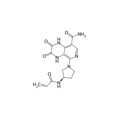 C=CC(=O)N[C@@H]1CCN(c2ncc(C(N)=O)c3[nH]c(=O)c(=O)[nH]c23)C1